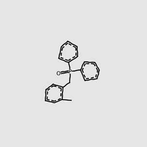 Cc1ccccc1CP(=O)(c1ccccc1)c1ccccc1